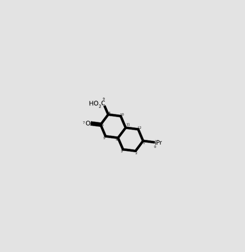 CC(C)C1CCC2CC(=O)C(C(=O)O)CC2C1